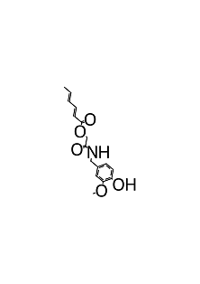 C/C=C/C=CC(=O)OCC(=O)NCc1ccc(O)c(OC)c1